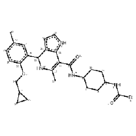 CCC(=O)NC1CCC(NC(=O)C2=C(C)NC(c3cc(C)ccc3OCC3CC3)c3cc[nH]c32)CC1